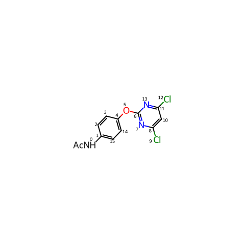 CC(=O)Nc1ccc(Oc2nc(Cl)cc(Cl)n2)cc1